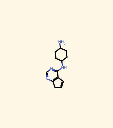 NC1CCC(Nc2ncnc3c2C=CC3)CC1